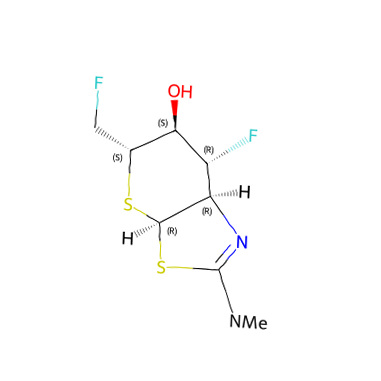 CNC1=N[C@H]2[C@@H](S1)S[C@H](CF)[C@@H](O)[C@@H]2F